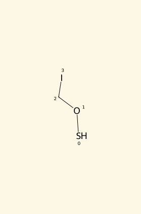 SOCI